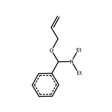 C=CCOC(c1ccccc1)N(CC)CC